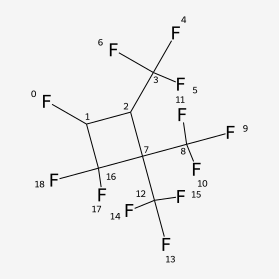 FC1C(C(F)(F)F)C(C(F)(F)F)(C(F)(F)F)C1(F)F